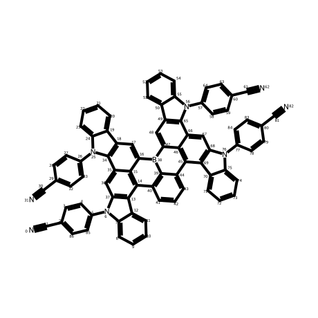 N#Cc1ccc(-n2c3ccccc3c3c4c5c(cc6c7ccccc7n(-c7ccc(C#N)cc7)c6c5cc32)B2c3c-4cccc3-c3c4c2cc2c5ccccc5n(-c5ccc(C#N)cc5)c2c4cc2c3c3ccccc3n2-c2ccc(C#N)cc2)cc1